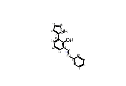 Oc1c(/C=N/c2ccccc2)cccc1-c1ccc[nH]1